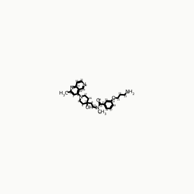 Cc1cc(N2CCC(O)(CCN(C)C(=O)c3cccc(OCCCN)c3)CC2)c2cnccc2n1